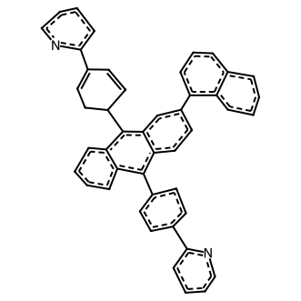 C1=CC(c2c3ccccc3c(-c3ccc(-c4ccccn4)cc3)c3ccc(-c4cccc5ccccc45)cc23)CC=C1c1ccccn1